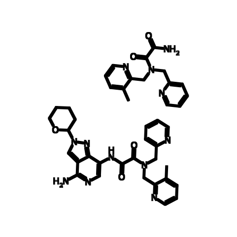 Cc1cccnc1CN(Cc1ccccn1)C(=O)C(=O)Nc1cnc(N)c2cn(C3CCCCO3)nc12.Cc1cccnc1CN(Cc1ccccn1)C(=O)C(N)=O